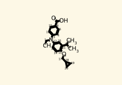 CCN(c1ccc(C(=O)O)cc1)c1ccc(OCC2CC2)c(C(C)C)c1